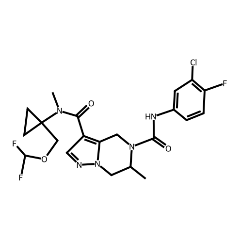 CC1Cn2ncc(C(=O)N(C)C3(COC(F)F)CC3)c2CN1C(=O)Nc1ccc(F)c(Cl)c1